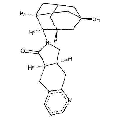 O=C1[C@@H]2Cc3cccnc3C[C@@H]2CN1[C@@H]1[C@@H]2CC3C[C@H]1C[C@](O)(C3)C2